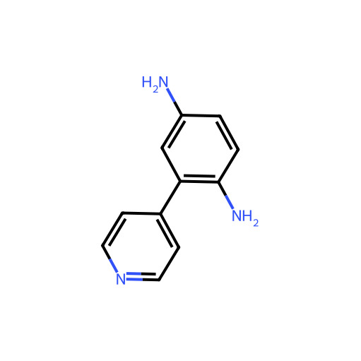 Nc1ccc(N)c(-c2ccncc2)c1